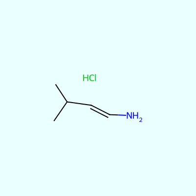 CC(C)/C=C/N.Cl